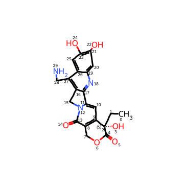 CC[C@@]1(O)C(=O)OCc2c1cc1n(c2=O)Cc2c-1nc1cc(O)c(O)cc1c2CN